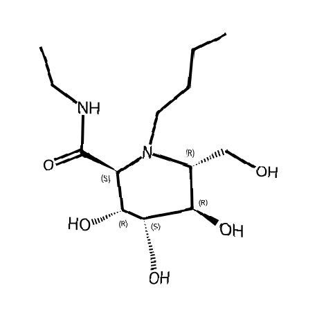 CCCCN1[C@H](CO)[C@@H](O)[C@H](O)[C@H](O)[C@H]1C(=O)NCC